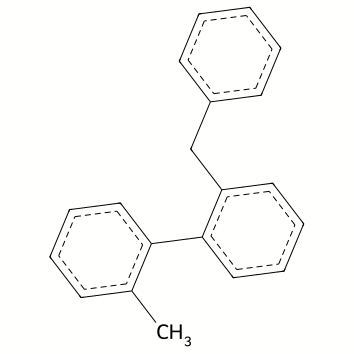 Cc1ccccc1-c1ccccc1Cc1ccccc1